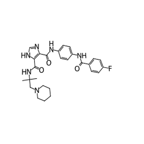 CC(C)(CN1CCCCC1)NC(=O)c1[nH]cnc1C(=O)Nc1ccc(NC(=O)c2ccc(F)cc2)cc1